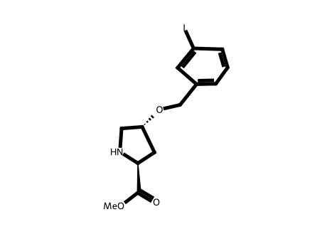 COC(=O)[C@@H]1C[C@@H](OCc2cccc(I)c2)CN1